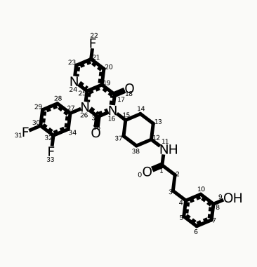 O=C(CCc1cccc(O)c1)NC1CCC(n2c(=O)c3cc(F)cnc3n(-c3ccc(F)c(F)c3)c2=O)CC1